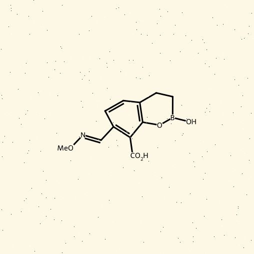 CO/N=C/c1ccc2c(c1C(=O)O)OB(O)CC2